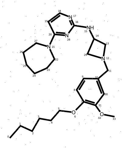 CCCCCCOc1ccc(CN2CC(Nc3nccc(N4CCCCCC4)n3)C2)cc1OC